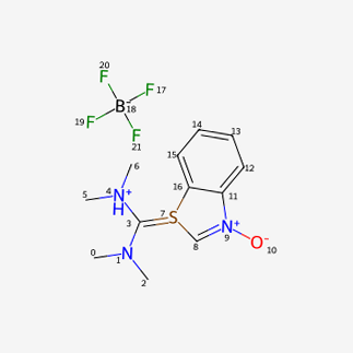 CN(C)C([NH+](C)C)=S1C=[N+]([O-])c2ccccc21.F[B-](F)(F)F